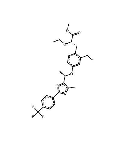 CCO[C@@H](Cc1ccc(O[C@H](C)c2sc(-c3ccc(C(F)(F)F)cc3)nc2C)cc1CC)C(=O)OC